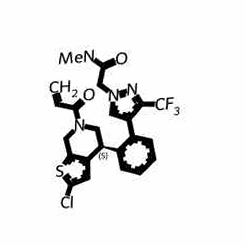 C=CC(=O)N1Cc2sc(Cl)cc2[C@H](c2ccccc2-c2cn(CC(=O)NC)nc2C(F)(F)F)C1